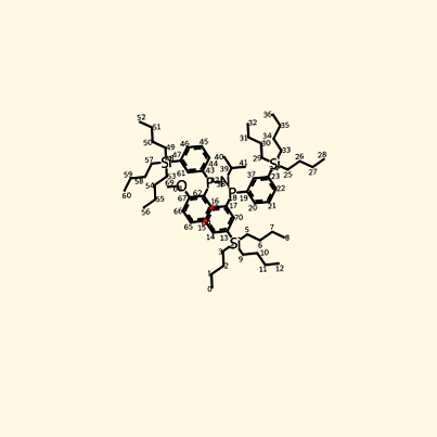 CCCC[Si](CCCC)(CCCC)c1cccc(P(c2cccc([Si](CCCC)(CCCC)CCCC)c2)N(C(C)C)P(c2cccc([Si](CCCC)(CCCC)CCCC)c2)c2ccccc2OC)c1